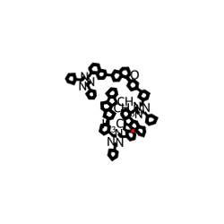 CC1(C)c2ccccc2-c2ccc3cc(-c4cccc(-c5nc(-c6ccccc6)nc(-c6ccccc6CC6(C)c7cc8ccccc8cc7-c7c(-c8nc(-c9ccccc9)nc(-c9cccc(-c%10ccc%11c(c%10)oc%10ccc%12cc(-c%13ccc%14c(-c%15nc(-c%16ccccc%16)nc(-c%16ccccc%16)n%15)cccc%14c%13)ccc%12c%10%11)c9)n8)cccc76)n5)c4)ccc3c21